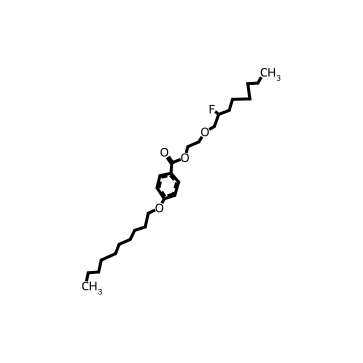 CCCCCCCCCCOc1ccc(C(=O)OCCOCC(F)CCCCCC)cc1